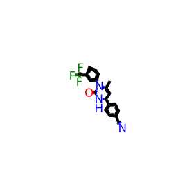 CC1=CC(c2ccc(C#N)cc2)NC(=O)N1c1cccc(C(F)(F)F)c1